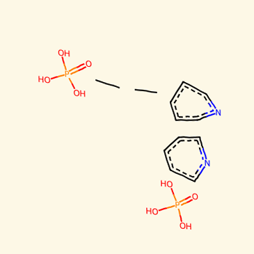 CC.CC.O=P(O)(O)O.O=P(O)(O)O.c1ccncc1.c1ccncc1